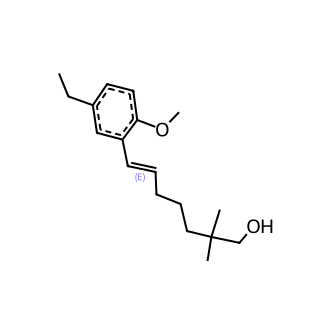 CCc1ccc(OC)c(/C=C/CCCC(C)(C)CO)c1